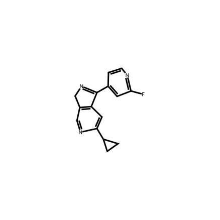 Fc1cc(C2=NCc3cnc(C4CC4)cc32)ccn1